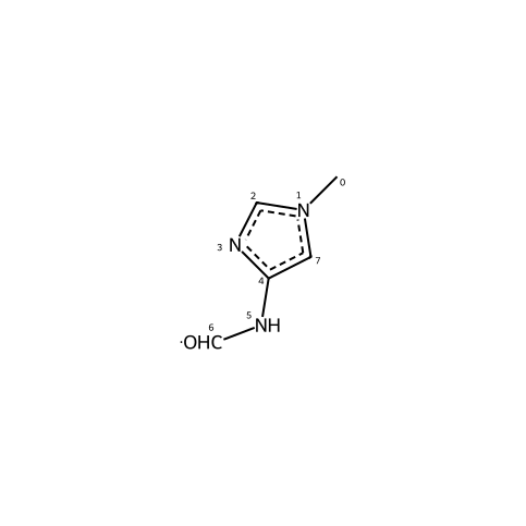 Cn1cnc(N[C]=O)c1